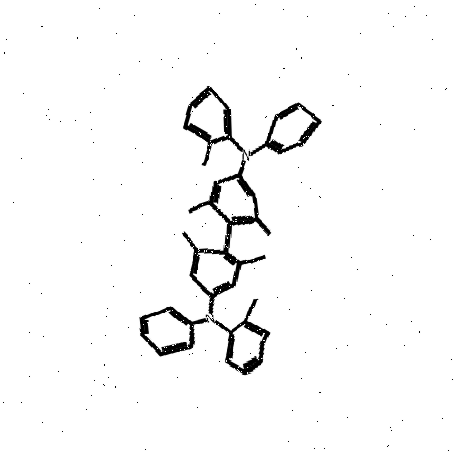 Cc1ccccc1N(c1ccccc1)c1cc(C)c(-c2c(C)cc(N(c3ccccc3)c3ccccc3C)cc2C)c(C)c1